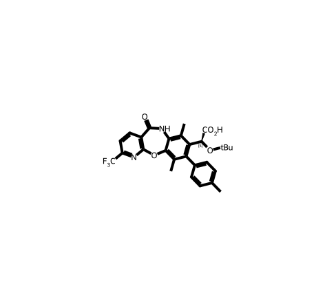 Cc1ccc(-c2c(C)c3c(c(C)c2[C@H](OC(C)(C)C)C(=O)O)NC(=O)c2ccc(C(F)(F)F)nc2O3)cc1